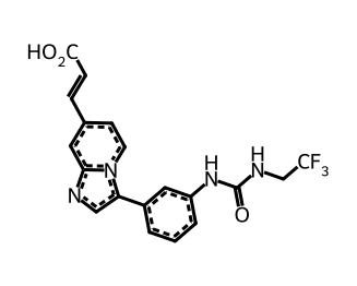 O=C(O)C=Cc1ccn2c(-c3cccc(NC(=O)NCC(F)(F)F)c3)cnc2c1